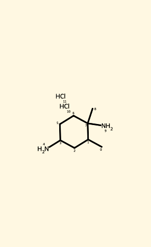 CC1CC(N)CCC1(C)N.Cl.Cl